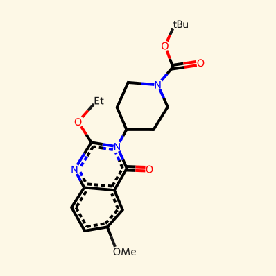 CCOc1nc2ccc(OC)cc2c(=O)n1C1CCN(C(=O)OC(C)(C)C)CC1